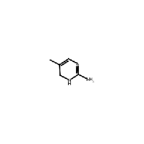 CC1=CN=C(N)NC1